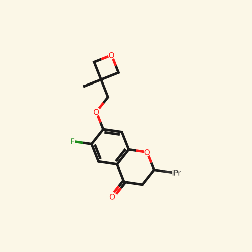 CC(C)C1CC(=O)c2cc(F)c(OCC3(C)COC3)cc2O1